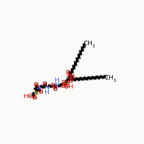 CCCCCCCCCCCCCCCCCC(=O)OC[C@H](COP(=O)(O)OCCNC(=O)OCCNC(=O)CCN1C(=O)CC(SCC(=O)O)C1=O)OC(=O)CCCCCCCCCCCCCCCCC